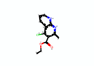 CCOC(=O)c1c(C)nc2ncccc2c1Cl